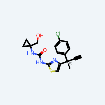 C#C[C@@](C)(c1ccc(Cl)cc1)c1csc(NC(=O)NC2(CO)CC2)n1